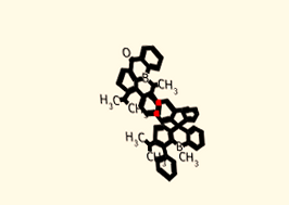 CB1c2ccccc2C2(c3ccccc3-c3cc(CC(C)B4c5ccccc5C(=O)c5ccc(C(C)C)c(-c6ccccc6)c54)ccc32)c2ccc(C(C)C)c(-c3ccccc3)c21